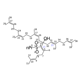 CCCS(=O)(=O)/C(=C(/C)CCC=C(C)C)C(O)(CC=C(C)CCC=C(C)CCC=C(C)C)C/C=C(\C)CCC=C(C)C